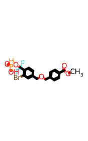 COC(=O)c1ccc(COCc2ccc(C(F)(F)O[PH](=O)O)c(Br)c2)cc1